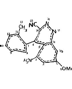 COc1cc(N)c2c(-c3ccccc3C)c(C#N)nnc2c1